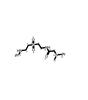 CC(C)NCCS(=O)(=O)CCNC(=O)CN(C)C(C)C